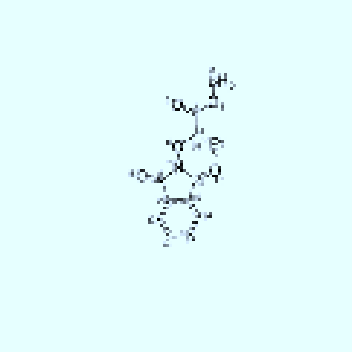 BOC(=O)[C@H](CC)ON1C(=O)c2ccccc2C1=O